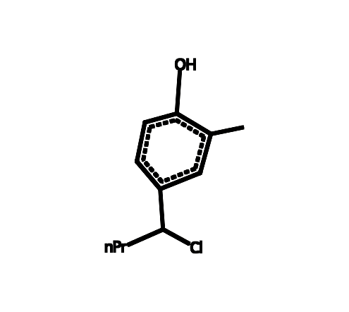 CCCC(Cl)c1ccc(O)c(C)c1